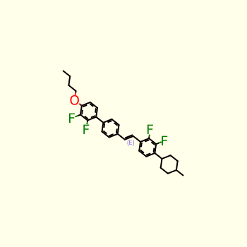 CCCCOc1ccc(-c2ccc(/C=C/c3ccc(C4CCC(C)CC4)c(F)c3F)cc2)c(F)c1F